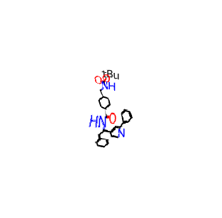 CC(C)(C)OC(=O)NC[C@H]1CC[C@H](C(=O)NC(Cc2ccccc2)c2ccnc(-c3ccccc3)c2)CC1